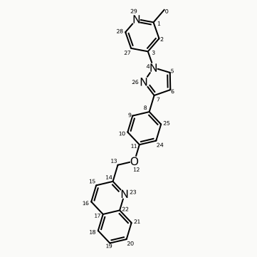 Cc1cc(-n2ccc(-c3ccc(OCc4ccc5ccccc5n4)cc3)n2)ccn1